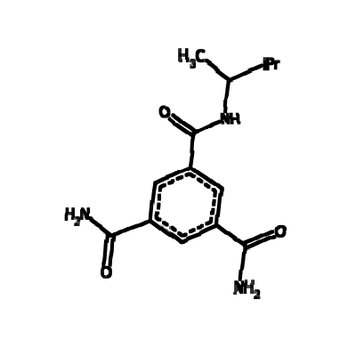 CC(C)C(C)NC(=O)c1cc(C(N)=O)cc(C(N)=O)c1